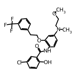 COCCN(C)c1ccc(NC(=O)c2cc(Cl)ccc2O)c(OCCc2cccc(C(F)(F)F)c2)c1